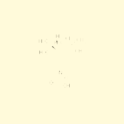 CON(C1CC[C@](C)(C(C)(C)C)[C@H](C(C)(C)C)C1)C1CCCCO1